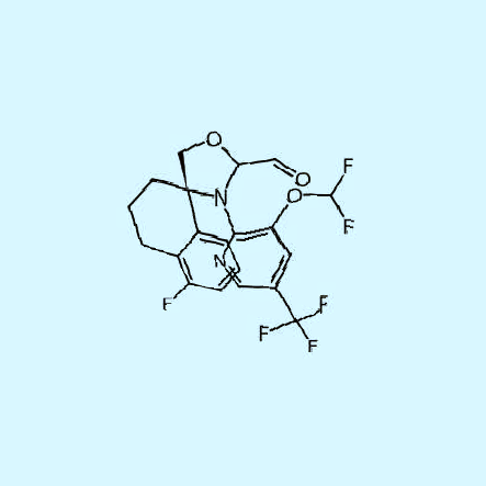 O=CC1OC[C@@]2(CCCc3c(F)cccc32)N1c1ncc(C(F)(F)F)cc1OC(F)F